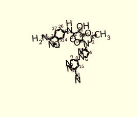 C[C@H]1CN(c2ccn(-c3cnnc(C#N)c3)n2)C(=O)[C@@H](C(O)C(=O)Nc2ccc3c(N)noc3c2)O1